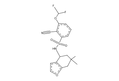 CC1(C)Cc2occc2C(NS(=O)(=O)c2cccc(OC(F)F)c2C#N)C1